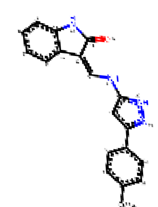 COc1ccc(-c2cc(NC=C3C(=O)Nc4ccccc43)[nH]n2)cc1